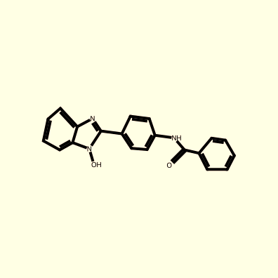 O=C(Nc1ccc(-c2nc3ccccc3n2O)cc1)c1ccccc1